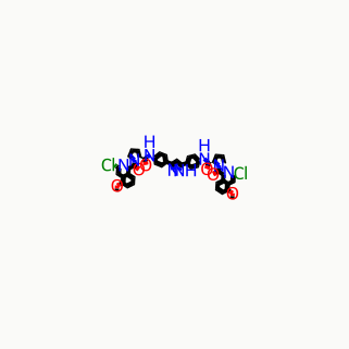 COc1cccc2c(C(=O)N3CCC[C@H]3C(=O)Nc3ccc(-c4cc(-c5ccc(NC(=O)[C@@H]6CCCN6C(=O)c6nc(Cl)cc7c(OC)cccc67)cc5)[nH]n4)cc3)nc(Cl)cc12